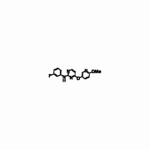 COc1ccc(Oc2ccnc(Nc3cccc(F)c3)n2)cn1